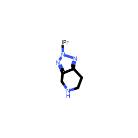 CC(C)n1nc2c(n1)CNCC2